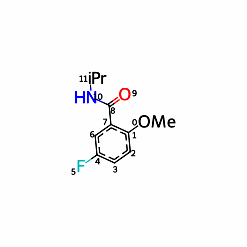 COc1ccc(F)cc1C(=O)NC(C)C